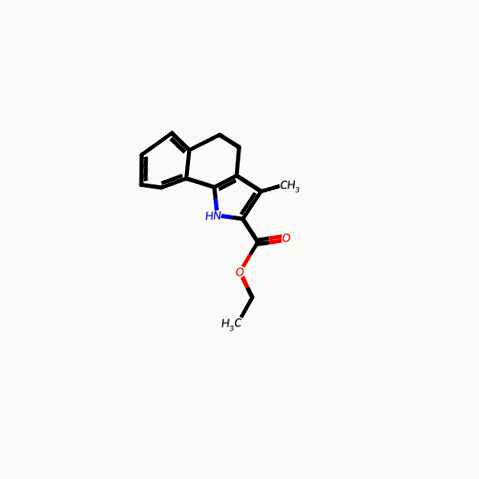 CCOC(=O)c1[nH]c2c(c1C)CCc1ccccc1-2